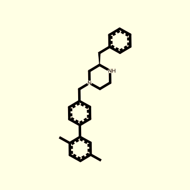 Cc1ccc(C)c(-c2ccc(CN3CCN[C@H](Cc4ccccc4)C3)cc2)c1